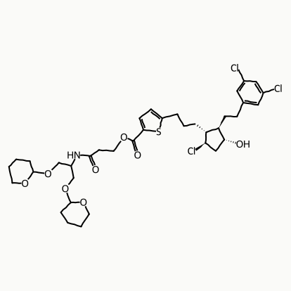 O=C(CCOC(=O)c1ccc(CCC[C@@H]2[C@@H](CCc3cc(Cl)cc(Cl)c3)[C@H](O)C[C@H]2Cl)s1)NC(COC1CCCCO1)COC1CCCCO1